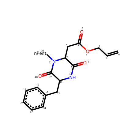 C=CCOC(=O)CC1C(=O)NC(Cc2ccccc2)C(=O)N1CCCCC